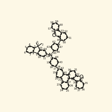 CC1(C)c2ccccc2-c2ccc(N(c3ccc(-c4ccc5c6ccccc6c6c(ccc7oc8ccccc8c76)c5c4)cc3)c3ccc(-c4cccc5c4oc4ccccc45)cc3)cc21